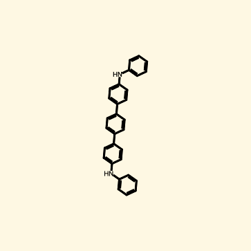 c1ccc(Nc2ccc(-c3ccc(-c4ccc(Nc5ccccc5)cc4)cc3)cc2)cc1